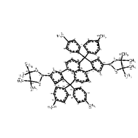 Cc1ccc(C2(c3ccc(C)cc3)c3cc(B4OC(C)(C)C(C)(C)O4)sc3-c3ccc4c5c(ccc2c35)-c2sc(B3OC(C)(C)C(C)(C)O3)cc2C4(c2ccc(C)cc2)c2ccc(C)cc2)cc1